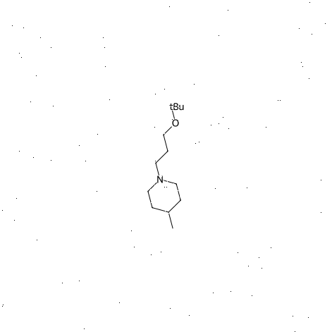 CC1CCN(CCCOC(C)(C)C)CC1